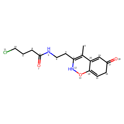 CC1=C(CCNC(=O)CCCCl)NOC2=CCC(=O)C=C21